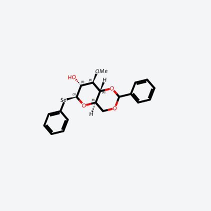 CO[C@@H]1[C@@H](O)[C@H]([Se]c2ccccc2)O[C@@H]2COC(c3ccccc3)O[C@@H]12